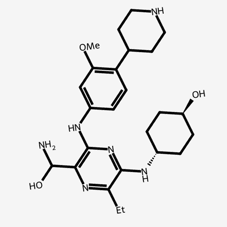 CCc1nc(C(N)O)c(Nc2ccc(C3CCNCC3)c(OC)c2)nc1N[C@H]1CC[C@H](O)CC1